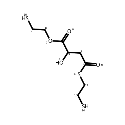 O=C(CC(O)C(=O)OCCS)SCCS